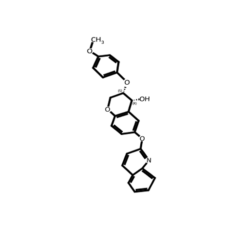 COc1ccc(O[C@H]2COc3ccc(Oc4ccc5ccccc5n4)cc3[C@H]2O)cc1